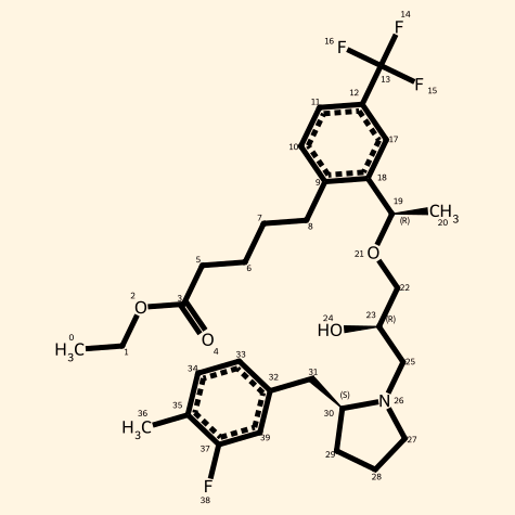 CCOC(=O)CCCCc1ccc(C(F)(F)F)cc1[C@@H](C)OC[C@H](O)CN1CCC[C@H]1Cc1ccc(C)c(F)c1